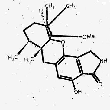 COC1CC(C)(C)[C@@H]2CC[C@H](C)[C@@]3(C)Cc4cc(O)c5c(c4O[C@@]23C1)CNC5=O